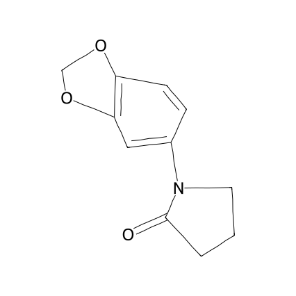 O=C1CCCN1c1ccc2c(c1)OCO2